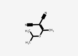 CC(OC(C)C)=C(C#N)C#N